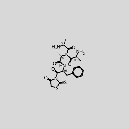 C[C@H](N)C(=O)N(C(=O)[C@H](C)N)[C@@H](C)C(=O)N[C@@H](Cc1ccccc1)C(=O)N1C(=O)CSC1=S